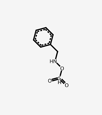 O=[SH](=O)ONCc1ccccc1